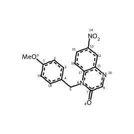 COc1ccc(Cn2c(=O)cnc3cc([N+](=O)[O-])ccc32)cc1